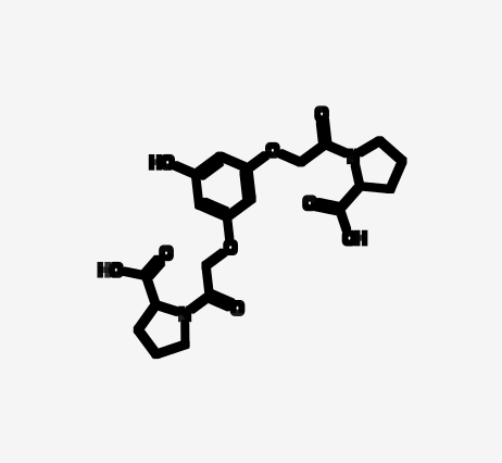 O=C(O)C1CCCN1C(=O)COc1cc(O)cc(OCC(=O)N2CCCC2C(=O)O)c1